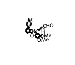 CCN1CCN(c2cccc3c2CN([C@H](CCCNC=O)c2ccc(OC)c(OC)c2)C3=O)CC1